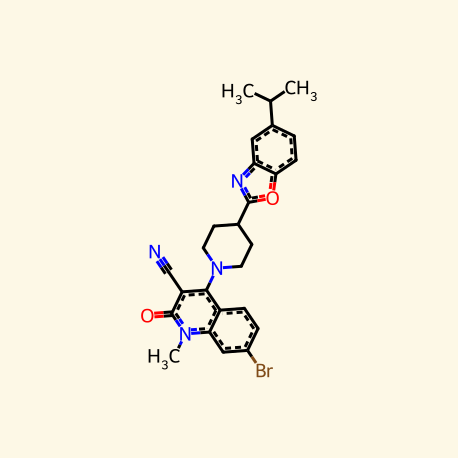 CC(C)c1ccc2oc(C3CCN(c4c(C#N)c(=O)n(C)c5cc(Br)ccc45)CC3)nc2c1